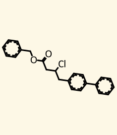 O=C(CC(Cl)Cc1ccc(-c2ccccc2)cc1)OCc1ccccc1